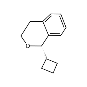 c1ccc2c(c1)CCO[C@H]2C1CCC1